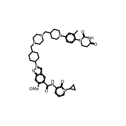 COc1cc2nn(C3CCC(CN4CCN(CC5CCN(c6ccc(N7CCC(=O)NC7=O)c(C)c6)CC5)CC4)CC3)cc2cc1C(=O)Nc1cccn(C2CC2)c1=O